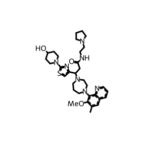 COc1c(C)cc2cccnc2c1N1CCCN(C(CC(=O)NCCN2CCCC2)c2csc(N3CCC(O)CC3)n2)CC1